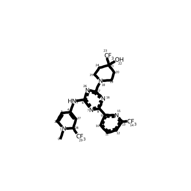 CN1C=CC(Nc2nc(-c3cccc(C(F)(F)F)n3)nc(N3CCC(O)(C(F)(F)F)CC3)n2)=CC1C(F)(F)F